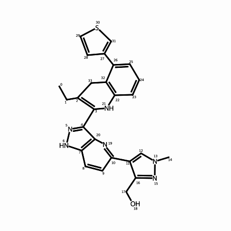 CCC1=C(c2n[nH]c3ccc(-c4cn(C)nc4CO)nc23)Nc2cccc(-c3ccsc3)c2C1